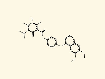 COc1cc2nccc(Oc3ccc(NC(=O)c4c(C)n(C)c(C)c(C(C)C)c4=O)cc3)c2nc1OC